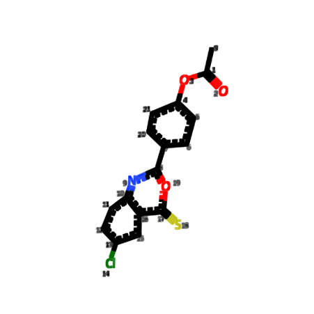 CC(=O)Oc1ccc(-c2nc3ccc(Cl)cc3c(=S)o2)cc1